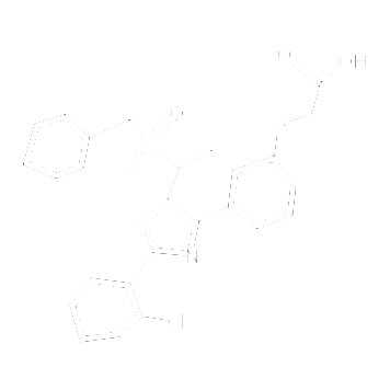 O=C(O)COc1cccc2c1CC(S(=O)(=O)Cc1ccccc1)c1sc(-c3ccccc3Cl)nc1-2